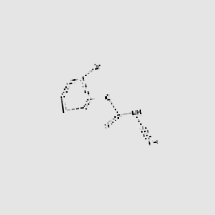 C#CNC(=O)Oc1ccccc1Br